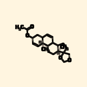 CC(=O)OC1C=C[C@@]2(C)C(C=CC3C2CC[C@@]2(C)C3CCC23COCO3)C1